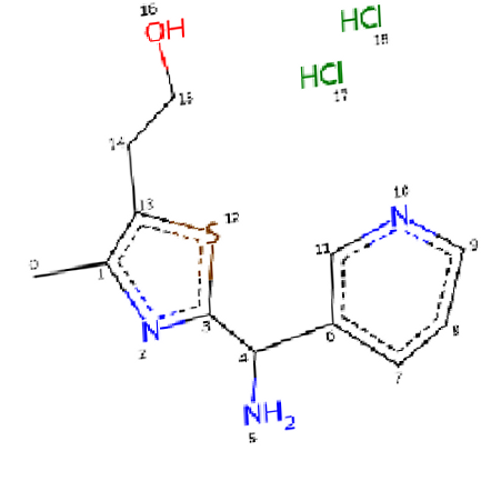 Cc1nc(C(N)c2cccnc2)sc1CCO.Cl.Cl